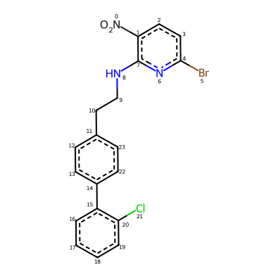 O=[N+]([O-])c1ccc(Br)nc1NCCc1ccc(-c2ccccc2Cl)cc1